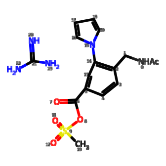 CC(=O)NCc1ccc(C(=O)OS(C)(=O)=O)cc1-n1cccc1.N=C(N)N